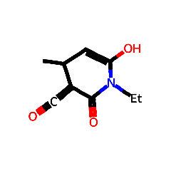 CCN1C(=O)C(=C=O)C(C)C=C1O